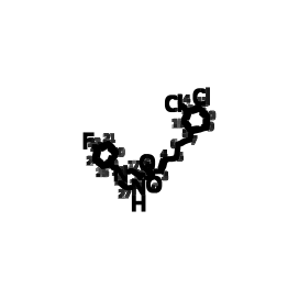 O=S(=O)(C=CCCCc1ccc(Cl)c(Cl)c1)C1CN(c2ccc(F)cc2)CCN1